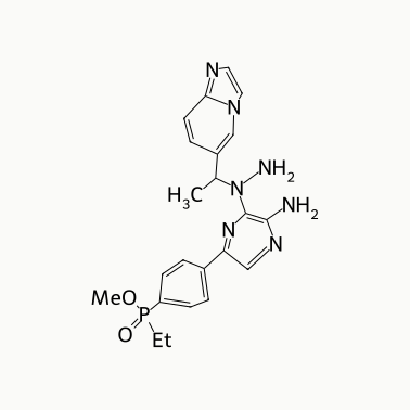 CCP(=O)(OC)c1ccc(-c2cnc(N)c(N(N)C(C)c3ccc4nccn4c3)n2)cc1